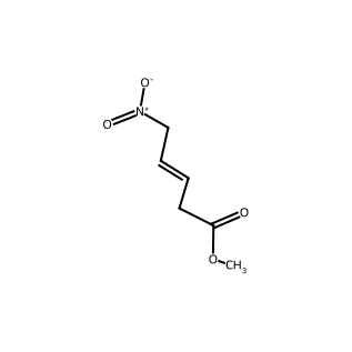 COC(=O)CC=CC[N+](=O)[O-]